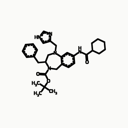 CC(C)(C)OC(=O)N1Cc2ccc(NC(=O)C3CCCCC3)cc2N(Cc2c[nH]cn2)CC1Cc1ccccc1